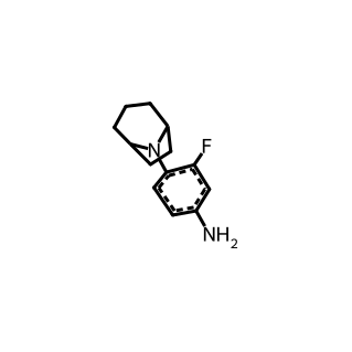 Nc1ccc(N2C3CCCC2CC3)c(F)c1